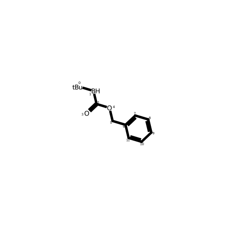 CC(C)(C)BC(=O)OCc1ccccc1